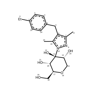 CCc1ccc(Cc2c(C)nn([C@]3(O)[C@H](O)CO[C@@H](CO)[C@@H]3O)c2C)cc1